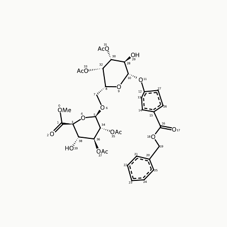 COC(=O)[C@H]1O[C@@H](OC[C@H]2O[C@@H](Oc3ccc(C(=O)OCc4ccccc4)cc3)[C@H](O)[C@@H](OC(C)=O)[C@H]2OC(C)=O)[C@H](OC(C)=O)[C@@H](OC(C)=O)[C@@H]1O